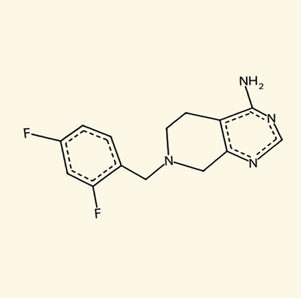 Nc1ncnc2c1CCN(Cc1ccc(F)cc1F)C2